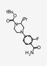 CC(C)C1CN(c2ccc(C(N)=O)c(F)c2)CCN1C(=O)OC(C)(C)C